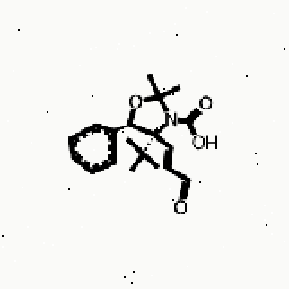 CC1(C)O[C@H](c2ccccc2)[C@@](C=CC=O)(C(C)(C)C)N1C(=O)O